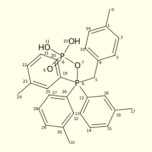 Cc1ccc(CP(OP(=O)(O)O)(c2cccc(C)c2)(c2cccc(C)c2)c2cccc(C)c2)cc1